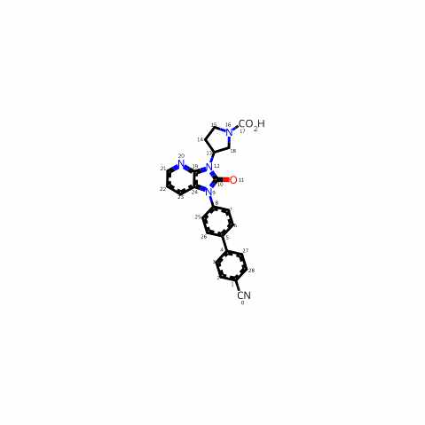 N#Cc1ccc(-c2ccc(-n3c(=O)n(C4CCN(C(=O)O)C4)c4ncccc43)cc2)cc1